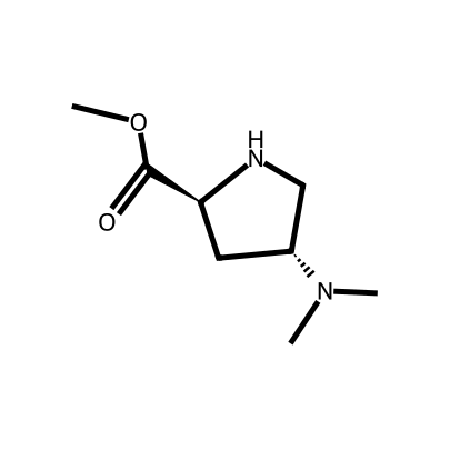 COC(=O)[C@@H]1C[C@@H](N(C)C)CN1